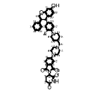 O=C1CCC(N2C(=O)c3ccc(N4CCN(CC5CCN(c6ccc([C@@H]7c8ccc(O)cc8OCC7c7ccccc7)cc6F)CC5)CC4)cc3C2=O)C(=O)N1